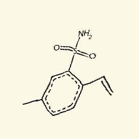 C=Cc1ccc(C)cc1S(N)(=O)=O